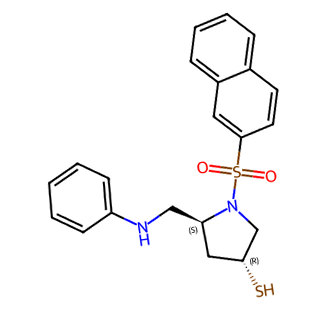 O=S(=O)(c1ccc2ccccc2c1)N1C[C@H](S)C[C@H]1CNc1ccccc1